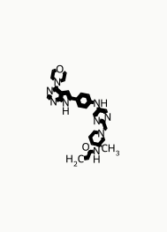 C=CC(=O)N[C@]1(C)CCCN(Cc2ncc(Nc3ccc(-c4cc5c(N6CCOCC6)ncnc5[nH]4)cc3)cn2)C1